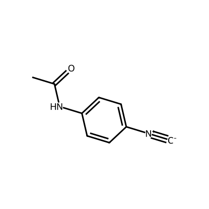 [C-]#[N+]c1ccc(NC(C)=O)cc1